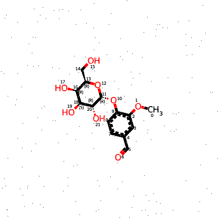 COc1cc(C=O)ccc1O[C@H]1O[C@H](CO)[C@H](O)[C@H](O)[C@H]1O